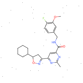 COc1cc(CNC(=O)c2cc(C3=NOC(C4CCCCC4)C3)nc(C)n2)ccc1F